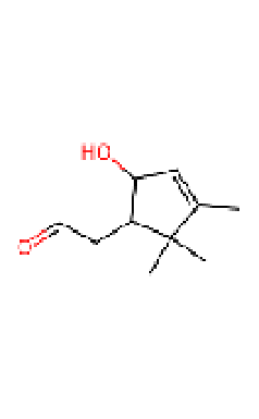 CC1=CC(O)C(CC=O)C1(C)C